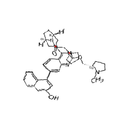 CN1CCC[C@H]1COc1nc(N2C[C@H]3CC[C@@H](C2)N3C(=O)CN2CCCC2)c2ccc(-c3cc(O)cc4ccccc34)cc2n1